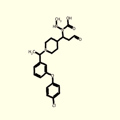 CNN(C(=O)O)C(CC=O)C1CCN(C(C)c2cccc(Oc3ccc(Cl)cc3)c2)CC1